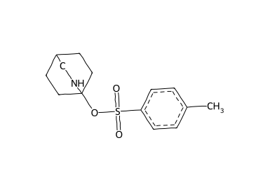 Cc1ccc(S(=O)(=O)OC23CCC(CC2)CN3)cc1